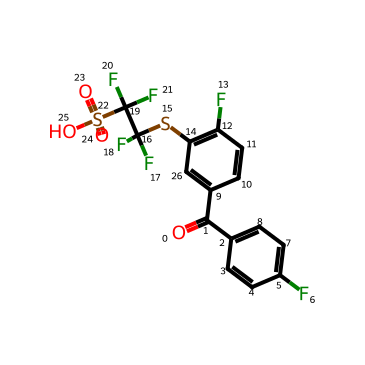 O=C(c1ccc(F)cc1)c1ccc(F)c(SC(F)(F)C(F)(F)S(=O)(=O)O)c1